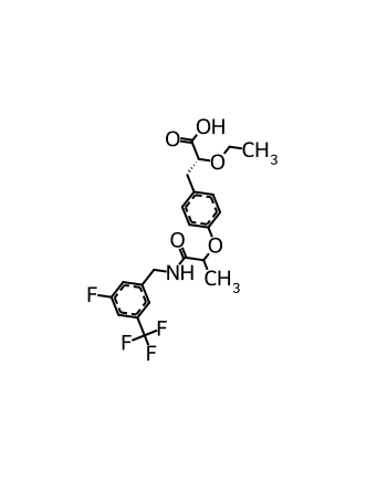 CCO[C@H](Cc1ccc(OC(C)C(=O)NCc2cc(F)cc(C(F)(F)F)c2)cc1)C(=O)O